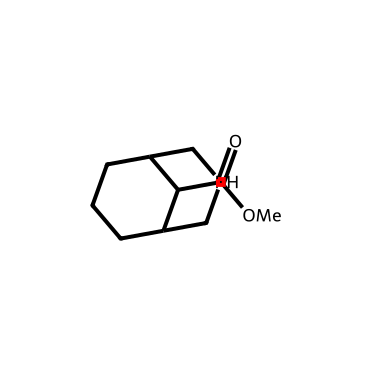 COC(=O)C1C2CCCC1CNC2